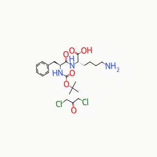 CC(C)(C)OC(=O)N[C@@H](Cc1ccccc1)C(=O)N[C@@H](CCCCN)C(=O)O.O=C(CCl)CCl